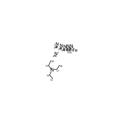 C#N.C#N.C#N.C#N.C#N.C#N.CCN(CC)CC.[Fe]